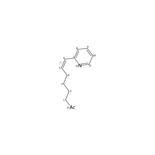 [CH2]C(=O)CCCC/C=C\c1ccccn1